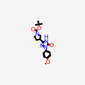 COc1ccc(-n2nc(C3CCN(C(=O)OC(C)(C)C)C3)[nH]c2=O)cc1